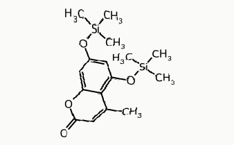 Cc1cc(=O)oc2cc(O[Si](C)(C)C)cc(O[Si](C)(C)C)c12